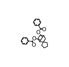 O=C(OC1C2CCC(C1OC(=O)c1ccccc1)C1(CCCC1)C2)c1ccccc1